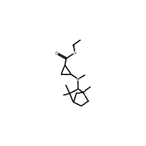 CCOC(=O)C1CC1N(C)C1C2(C)CCC(C2)C1(C)C